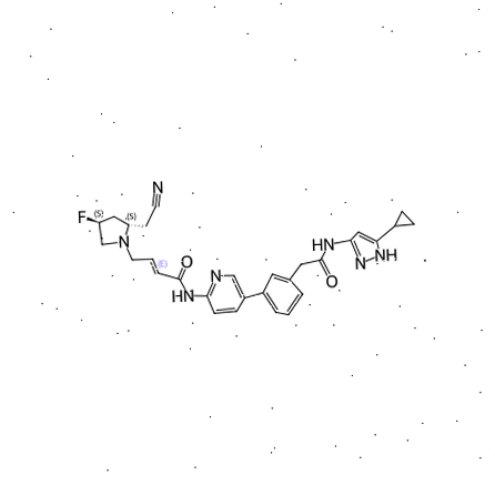 N#CC[C@H]1C[C@H](F)CN1C/C=C/C(=O)Nc1ccc(-c2cccc(CC(=O)Nc3cc(C4CC4)[nH]n3)c2)cn1